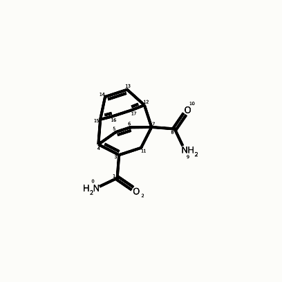 NC(=O)C1=C2C=CC(C(N)=O)(C1)c1ccc2cc1